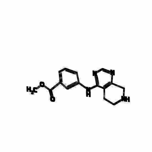 COC(=O)c1cccc(Nc2ncnc3c2CCNC3)c1